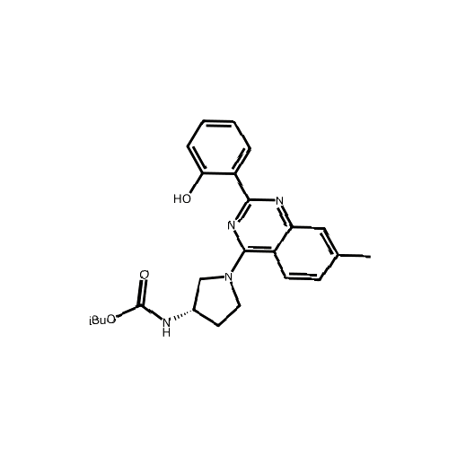 Cc1ccc2c(N3CC[C@H](NC(=O)OCC(C)C)C3)nc(-c3ccccc3O)nc2c1